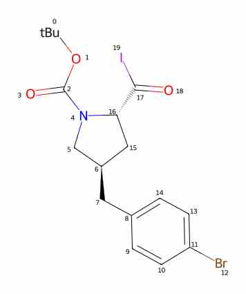 CC(C)(C)OC(=O)N1C[C@H](Cc2ccc(Br)cc2)C[C@H]1C(=O)I